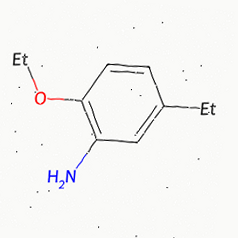 CCOc1ccc(CC)cc1N